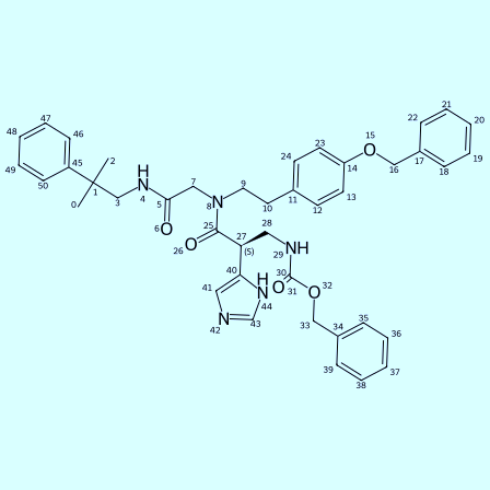 CC(C)(CNC(=O)CN(CCc1ccc(OCc2ccccc2)cc1)C(=O)[C@@H](CNC(=O)OCc1ccccc1)c1cnc[nH]1)c1ccccc1